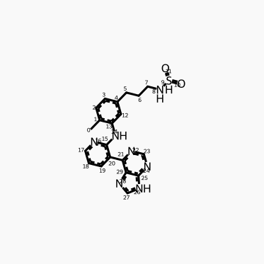 Cc1ccc(CCCN[SH](=O)=O)cc1Nc1ncccc1-c1ncnc2[nH]cnc12